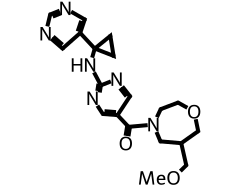 COCC1COCCN(C(=O)c2cnc(NC3(c4cncnc4)CC3)nc2)C1